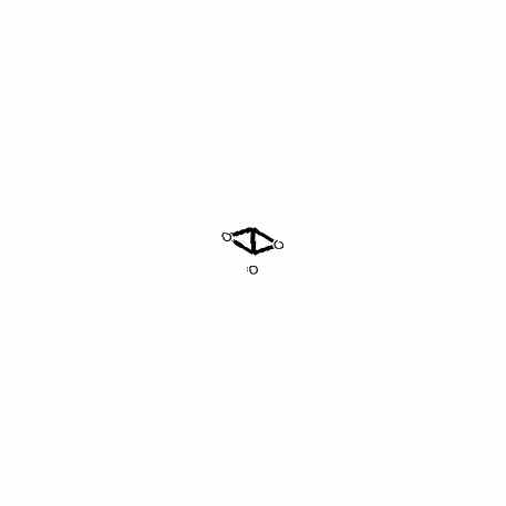 O1C2OC12.[O]